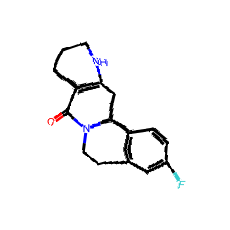 O=C1C2=C(CC3c4ccc(F)cc4CCN13)NCCC2